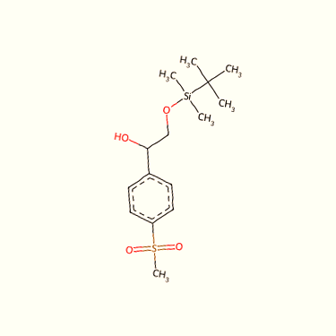 CC(C)(C)[Si](C)(C)OCC(O)c1ccc(S(C)(=O)=O)cc1